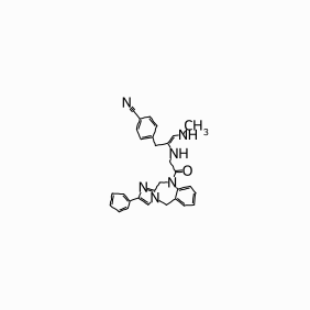 CN/C=C(/Cc1ccc(C#N)cc1)NCC(=O)N1Cc2nc(-c3ccccc3)cn2Cc2ccccc21